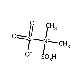 C[N+](C)(S(=O)(=O)[O-])S(=O)(=O)O